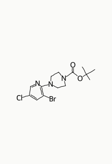 CC(C)(C)OC(=O)N1CCN(c2ncc(Cl)cc2Br)CC1